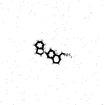 NCC1=CCCc2cc(N3CCc4ccccc43)ccc21